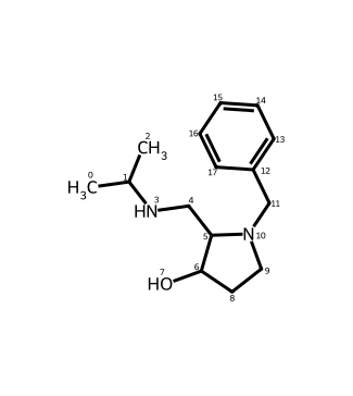 CC(C)NCC1C(O)CCN1Cc1ccccc1